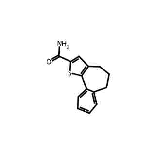 NC(=O)c1cc2c(s1)-c1ccccc1CCC2